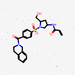 C=CC(=O)NC1CC(CO)N(S(=O)(=O)c2ccc(C(=O)N3CCc4ccccc4C3)cc2)C1